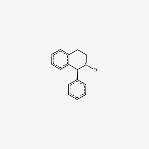 CCN1CCc2ccccc2[C@@H]1c1ccccc1